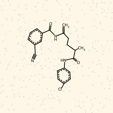 C=C(CCC(C)C(=O)Nc1ccc(Cl)cc1)NC(=O)c1cccc(C#N)c1